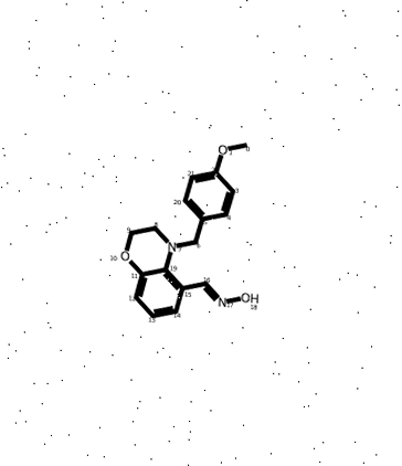 COc1ccc(CN2CCOc3cccc(C=NO)c32)cc1